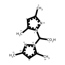 Cc1cc(C)n(C(C(=O)O)n2nc(C)cc2C)n1